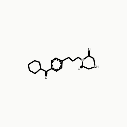 O=C(c1ccc(CCCN2C(=O)CNCC2=O)cc1)C1CCCCC1